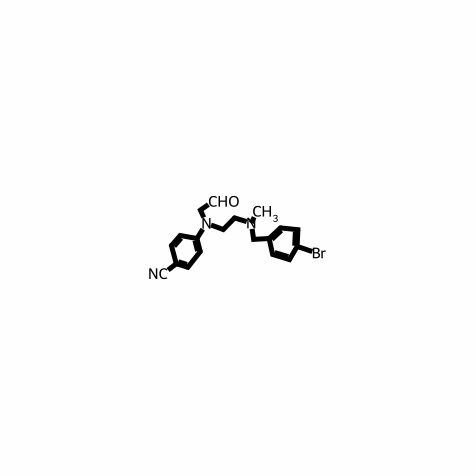 CN(CCN(CC=O)c1ccc(C#N)cc1)Cc1ccc(Br)cc1